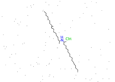 CCCCCCCCCCCCCCCC(C)NC(C)CCCCCCCCCCCCCCC.Cl